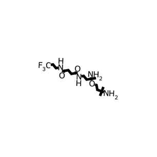 CC(C)(N)CCOC(C)(N)CCNC(=O)CCC(=O)NCCC(F)(F)F